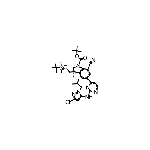 CC(C)Cn1nc(Cl)cc1Nc1nccc(-c2cc(C#N)c3c(c2)[C@@](C)(CO[Si](C)(C)C(C)(C)C)CN3C(=O)OC(C)(C)C)n1